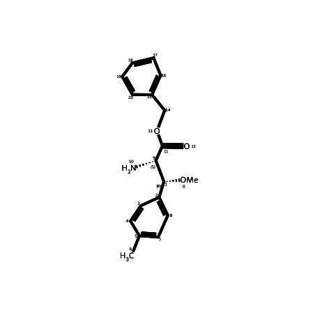 CO[C@H](c1ccc(C)cc1)[C@H](N)C(=O)OCc1ccccc1